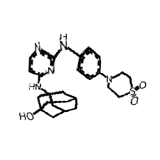 O=S1(=O)CCN(c2ccc(Nc3nccc(NC45CC6CC(CC(O)(C6)C4)C5)n3)cc2)CC1